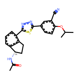 CC(=O)N[C@H]1CCc2c(-c3nnc(-c4ccc(OC(C)C)c(C#N)c4)s3)cccc21